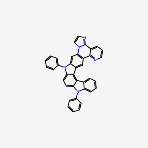 c1ccc(-n2c3ccccc3c3c4c5cc6c7ncccc7c7nccn7c6cc5n(-c5ccccc5)c4ccc32)cc1